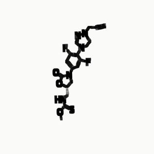 C#CCN1CCN(c2c(F)cc(N3C[C@H](CNC(=S)OC)OC3=O)cc2F)C=N1